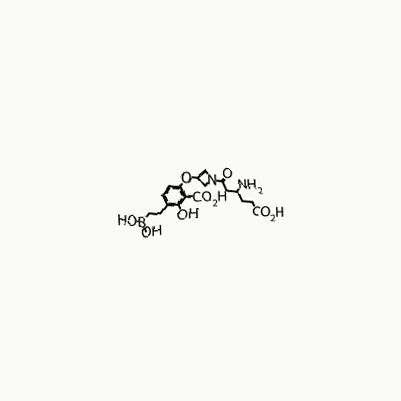 NC(CCC(=O)O)CC(=O)N1CC(Oc2ccc(CCB(O)O)c(O)c2C(=O)O)C1